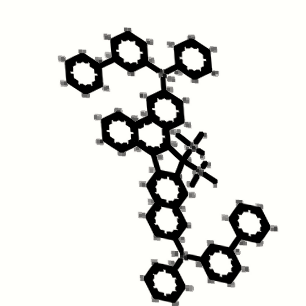 C[Si](C)(C)C1([Si](C)(C)C)c2cc3cc(N(c4ccccc4)c4cccc(-c5ccccc5)c4)ccc3cc2-c2c1c1ccc(N(c3ccccc3)c3cccc(-c4ccccc4)c3)cc1c1ccccc21